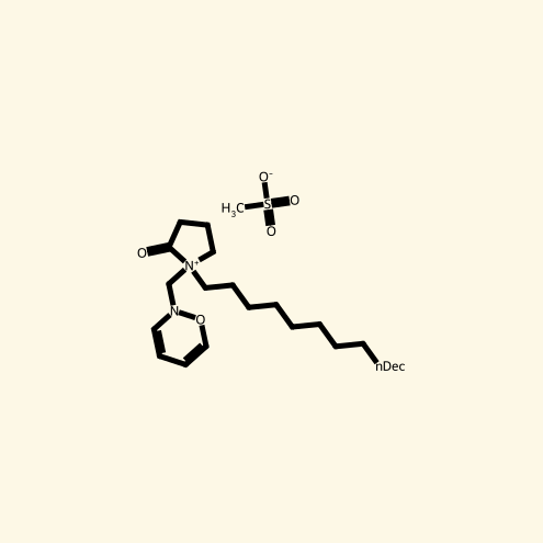 CCCCCCCCCCCCCCCCCC[N+]1(CN2C=CC=CO2)CCCC1=O.CS(=O)(=O)[O-]